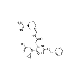 N=C(N)N1CCC[C@@H](CNC(=O)C[C@H](NC(=O)OCc2ccccc2)C(=O)N(CC(=O)O)C2CC2)C1